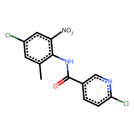 Cc1cc(Cl)cc([N+](=O)[O-])c1NC(=O)c1ccc(Cl)nc1